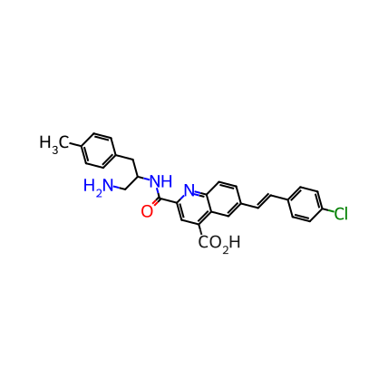 Cc1ccc(CC(CN)NC(=O)c2cc(C(=O)O)c3cc(/C=C/c4ccc(Cl)cc4)ccc3n2)cc1